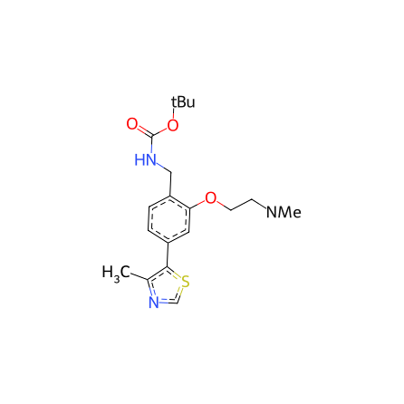 CNCCOc1cc(-c2scnc2C)ccc1CNC(=O)OC(C)(C)C